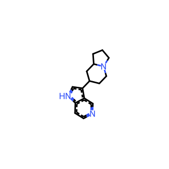 c1cc2[nH]cc(C3CCN4CCCC4C3)c2cn1